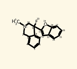 CN1Cc2ccccc2C(F)(c2cc3ccccc3o2)C1